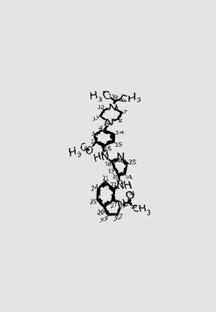 COc1cc(N2CCN(C(C)C)CC2)ccc1Nc1cc(Nc2cccc3c2N(C(C)=O)CC3)ccn1